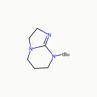 CC(C)(C)N1CCCN2CCN=C21